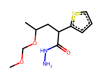 COCOC(C)CC(C(=O)NN)c1cccs1